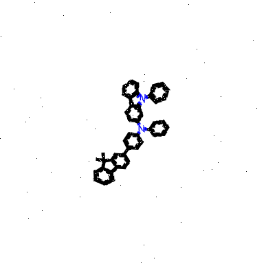 CC1(C)c2ccccc2-c2ccc(-c3ccc(N(c4ccccc4)c4ccc5c6ccccc6n(-c6ccccc6)c5c4)cc3)cc21